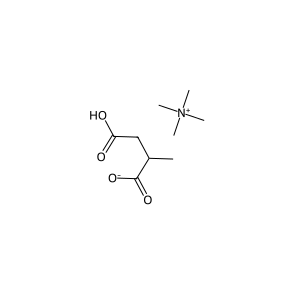 CC(CC(=O)O)C(=O)[O-].C[N+](C)(C)C